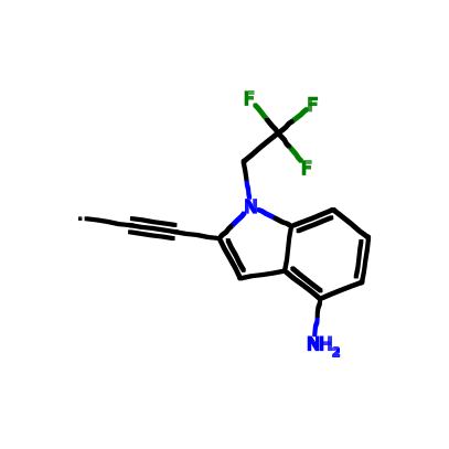 [CH2]C#Cc1cc2c(N)cccc2n1CC(F)(F)F